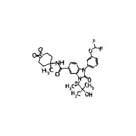 C[C@@H](n1c(=O)n(-c2cccc(OC(F)F)c2)c2ccc(C(=O)NC3(C)CCS(=O)(=O)CC3)cc21)C(C)(C)O